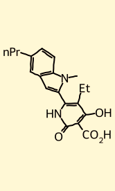 CCCc1ccc2c(c1)cc(-c1[nH]c(=O)c(C(=O)O)c(O)c1CC)n2C